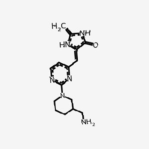 C=c1[nH]c(=O)/c(=C/c2ccnc(N3CCCC(CN)C3)n2)[nH]1